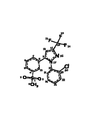 CS(=O)(=O)c1cccc(-c2cc(C(F)(F)F)nn2-c2ccccc2Cl)c1